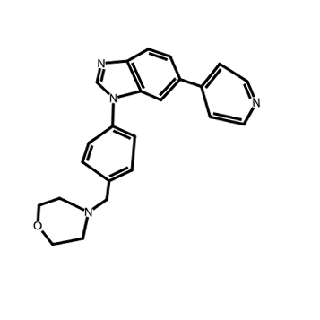 c1cc(-c2ccc3ncn(-c4ccc(CN5CCOCC5)cc4)c3c2)ccn1